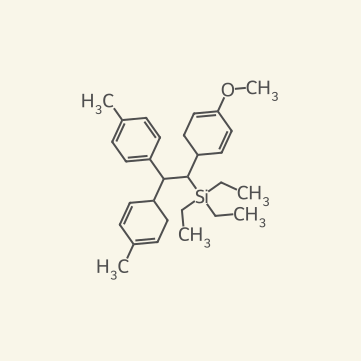 CC[Si](CC)(CC)C(C1C=CC(OC)=CC1)C(c1ccc(C)cc1)C1C=CC(C)=CC1